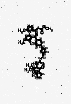 COC(=O)CC1N=C(c2ccc(-c3ccc(CCC(=O)NC(C(=O)N4CCCC4C)C(C)(C)C)s3)cc2)c2c(sc(C)c2C)-n2c(C)nnc21